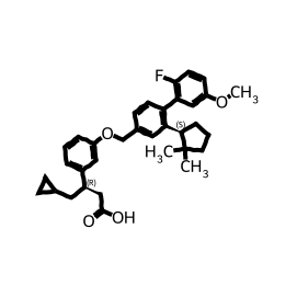 COc1ccc(F)c(-c2ccc(COc3cccc([C@@H](CC(=O)O)CC4CC4)c3)cc2[C@H]2CCCC2(C)C)c1